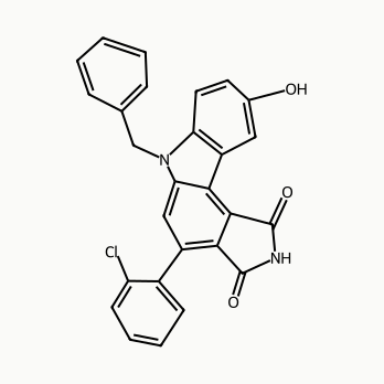 O=C1NC(=O)c2c1c(-c1ccccc1Cl)cc1c2c2cc(O)ccc2n1Cc1ccccc1